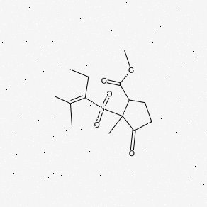 CCC(=C(C)C)S(=O)(=O)C1(C)C(=O)CCC1C(=O)OC